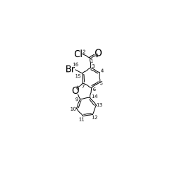 O=C(Cl)c1ccc2c(oc3ccccc32)c1Br